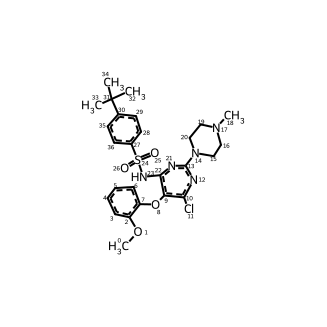 COc1ccccc1Oc1c(Cl)nc(N2CCN(C)CC2)nc1NS(=O)(=O)c1ccc(C(C)(C)C)cc1